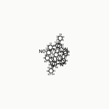 N#Cc1ccc(-c2c(-n3c4ccccc4c4ccccc43)c(-n3c4ccc(-c5ccccc5)cc4c4ncccc43)c(-n3c4ccccc4c4ccccc43)c(-n3c4ccc(-c5ccccc5)cc4c4ncccc43)c2-n2c3ccccc3c3ccccc32)cc1